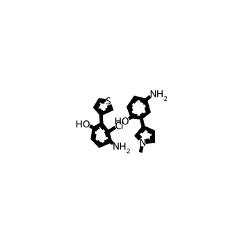 Cn1ccc(-c2cc(N)ccc2O)c1.Nc1ccc(O)c(-c2ccsc2)c1Cl